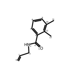 C=CCNC(=O)c1cccc(C)c1C